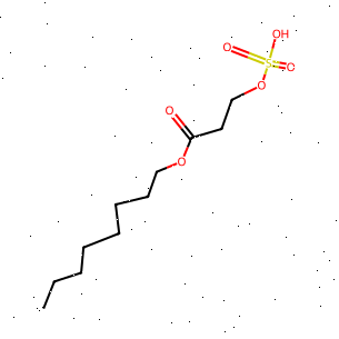 CCCCCCCCOC(=O)CCOS(=O)(=O)O